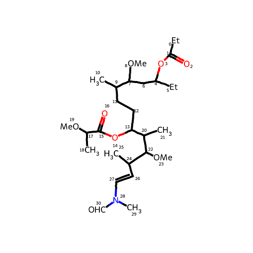 CCC(=O)OC(CC)CC(OC)C(C)CCC(OC(=O)C(C)OC)C(C)C(OC)C(C)/C=C/N(C)C=O